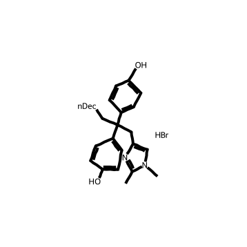 Br.CCCCCCCCCCCC(Cc1cn(C)c(C)n1)(c1ccc(O)cc1)c1ccc(O)cc1